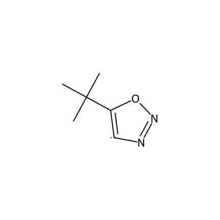 CC(C)(C)c1[c]nno1